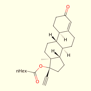 C#C[C@]1(OC(=O)CCCCCC)CC[C@H]2[C@@H]3CCC4=CC(=O)CC[C@@H]4[C@H]3CC[C@@]21C